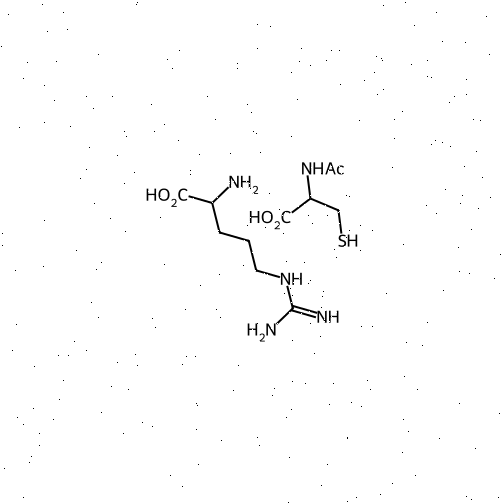 CC(=O)NC(CS)C(=O)O.N=C(N)NCCCC(N)C(=O)O